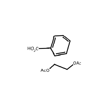 CC(=O)OCCOC(C)=O.O=C(O)c1ccccc1